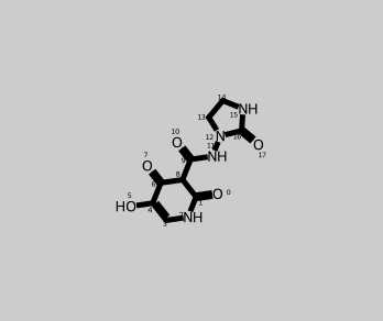 O=C1NC=C(O)C(=O)C1C(=O)NN1CCNC1=O